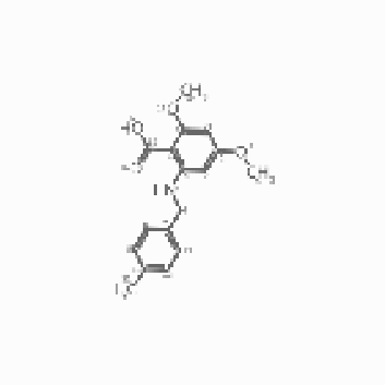 COc1cc(NCc2ccc(C)cc2)c(C(=O)O)c(OC)c1